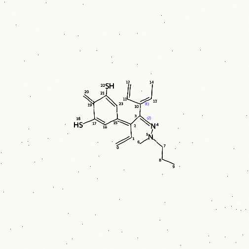 C=CC(C(=N\N(C)CCC)/C(C=C)=C/C)=c1cc(S)c(=C)c(S)c1